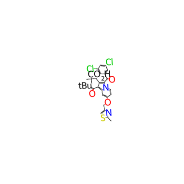 Cc1nc(COc2ccn3c(C(=O)c4cc(Cl)cc(Cl)c4)c(CC(C)(C)C(=O)O)c(C(=O)C(C)(C)C)c3c2)cs1